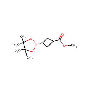 COC(=O)C1CC(B2OC(C)(C)C(C)(C)O2)C1